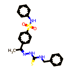 CC(=NNC(=S)NCc1ccccc1)c1ccc(S(=O)(=O)Nc2ccccc2)cc1